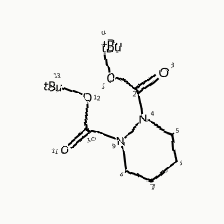 CC(C)(C)OC(=O)N1CCCCN1C(=O)OC(C)(C)C